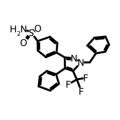 NS(=O)(=O)c1ccc(-c2nn(Cc3ccccc3)c(C(F)(F)F)c2-c2ccccc2)cc1